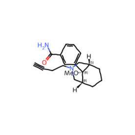 C#CCCN1C[C@H]2CCC[C@@H](C1)[C@]2(OC)c1cccc(C(N)=O)c1